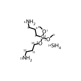 CO[Si](CCCN)(OC)OCCCN.[SiH4]